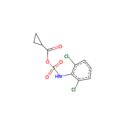 O=C(OS(=O)(=O)Nc1c(Cl)cccc1Cl)C1CC1